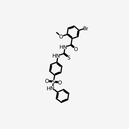 COc1ccc(Br)cc1C(=O)NC(=S)Nc1ccc(S(=O)(=O)Nc2ccccc2)cc1